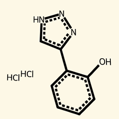 Cl.Cl.Oc1ccccc1-c1c[nH]nn1